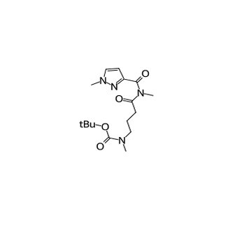 CN(CCCC(=O)N(C)C(=O)c1ccn(C)n1)C(=O)OC(C)(C)C